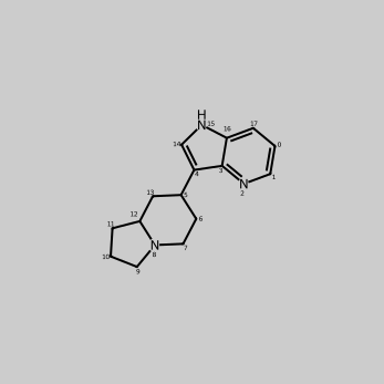 c1cnc2c(C3CCN4CCCC4C3)c[nH]c2c1